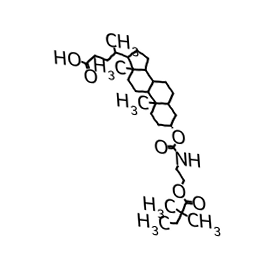 CCC(C)(C)C(=O)OCCNC(=O)O[C@@H]1CCC2(C)C(CCC3C2CCC2(C)C(C(C)CCC(=O)O)CCC32)C1